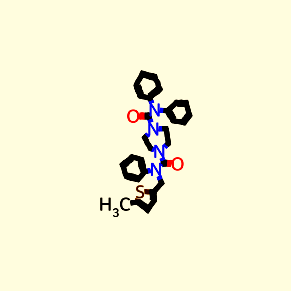 Cc1ccc(CN(C(=O)N2CCN(C(=O)N(c3ccccc3)c3ccccc3)CC2)c2ccccc2)s1